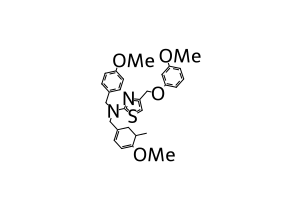 COC1=CC=C(CN(Cc2ccc(OC)cc2)c2nc(COc3cccc(OC)c3)cs2)CC1C